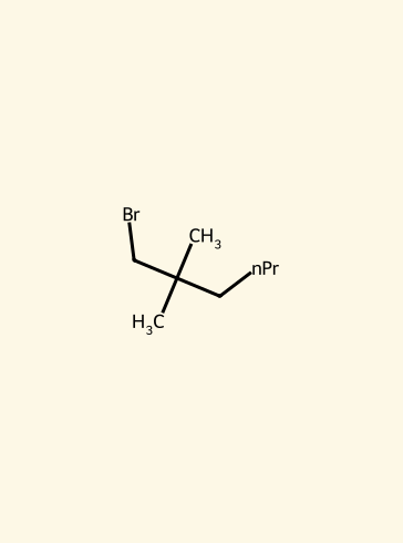 CCCCC(C)(C)CBr